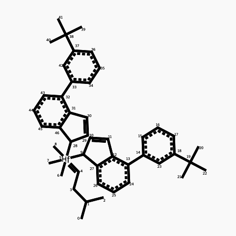 CC(C)C[CH]=[Hf]([CH3])([CH3])([CH3])([CH]1C=Cc2c(-c3cccc(C(C)(C)C)c3)cccc21)[CH]1C=Cc2c(-c3cccc(C(C)(C)C)c3)cccc21